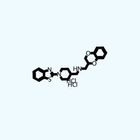 Cl.Cl.c1ccc2c(c1)OCC(CNCC1CCN(c3nc4ccccc4s3)CC1)O2